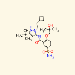 CC(C)(O)COc1ccc(S(N)(=O)=O)cc1C(=O)N=c1cc(C(C)(C)C)[nH]n1CCC1CCC1